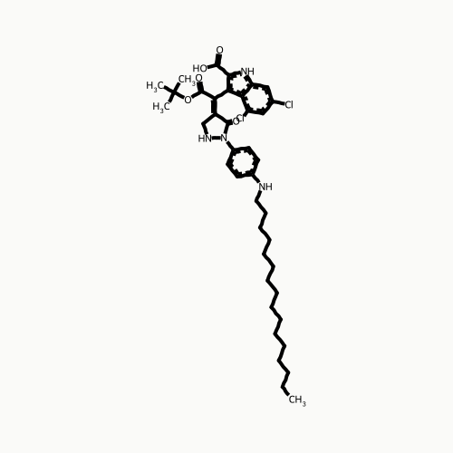 CCCCCCCCCCCCCCCCNc1ccc(N2NCC(=C(C(=O)OC(C)(C)C)c3c(C(=O)O)[nH]c4cc(Cl)cc(Cl)c34)C2=O)cc1